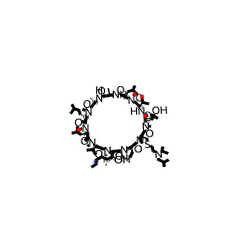 C/C=C/C[C@@H](C)[C@@H](O)[C@H]1C(=O)N[C@H](CC)C(=O)N(C)[C@H](CSCCN(CC(C)C)C(C)C)C(=O)N(C)[C@@H](CC(C)(C)O)C(=O)N[C@H](C(C)C)C(=O)N(C)[C@H](CC(C)C)C(=O)N[C@H](C)C(=O)N[C@@H](C)C(=O)N(C)[C@@H](CCC(C)C)C(=O)N(C)[C@H](CC(C)C)C(=O)N(C)[C@H](C(C)C)C(=O)N1C